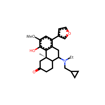 CCN(CC1CC1)C1Cc2c(-c3ccoc3)cc(OC)c(O)c2[C@]2(C)CC(=O)CCC12